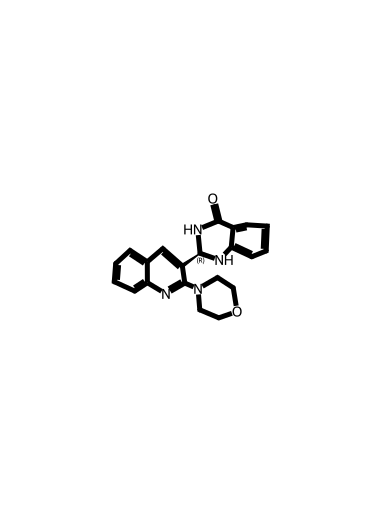 O=C1N[C@H](c2cc3ccccc3nc2N2CCOCC2)Nc2ccccc21